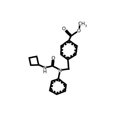 COC(=O)c1ccc(CN(C(=O)NC2CCC2)c2ccccc2)cc1